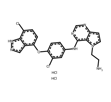 Cl.Cl.NCCn1ccc2ncnc(Nc3ccc(Oc4ccc(Cl)c5[nH]ncc45)c(Cl)c3)c21